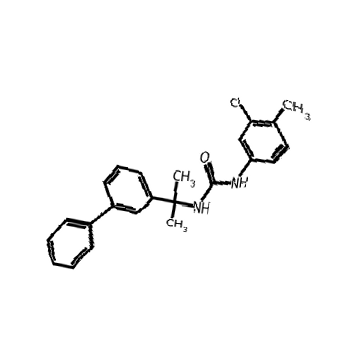 Cc1ccc(NC(=O)NC(C)(C)c2cccc(-c3ccccc3)c2)cc1Cl